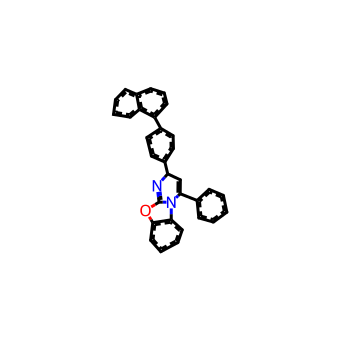 C1=C(c2ccccc2)N2C(=NC1c1ccc(-c3cccc4ccccc34)cc1)Oc1ccccc12